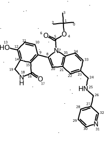 CC(C)(C)OC(=O)n1c(-c2ccc(O)c3c2C(=O)NC3)cc2cc(CNCc3cccnc3)ccc21